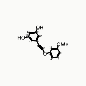 COc1cccc(OC#Cc2cc(O)cc(O)c2)c1